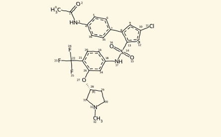 CC(=O)Nc1ccc(-c2cc(Cl)sc2S(=O)(=O)Nc2ccc(C(F)(F)F)c(O[C@@H]3CCN(C)C3)c2)cc1